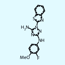 COc1ccc(Nc2nc(N)n(-c3nc4ccccc4s3)n2)cc1F